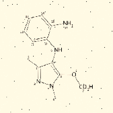 Cc1nn(C)c(OC(=O)O)c1Nc1ccccc1N